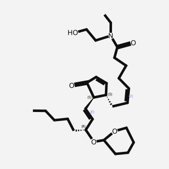 CCCCC[C@H](/C=C/[C@H]1C(=O)C=C[C@@H]1C/C=C\CCCC(=O)N(CC)CCO)OC1CCCCO1